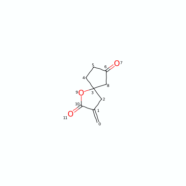 C=C1CC2(CCC(=O)C2)OC1=O